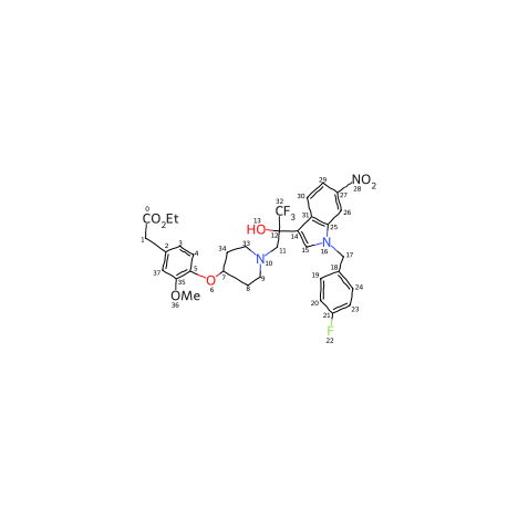 CCOC(=O)Cc1ccc(OC2CCN(CC(O)(c3cn(Cc4ccc(F)cc4)c4cc([N+](=O)[O-])ccc34)C(F)(F)F)CC2)c(OC)c1